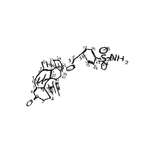 C[C@@H]1CC2=CC(=O)CC[C@@H]2[C@@H]2[C@@H]1[C@@H]1CC[C@H](OCc3ccc(S(N)(=O)=O)cc3)[C@@]1(C)C[C@@H]2F